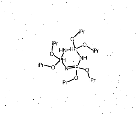 CC(C)OP1(OC(C)C)=N[PH](OC(C)C)(OC(C)C)N[PH](OC(C)C)(OC(C)C)N1